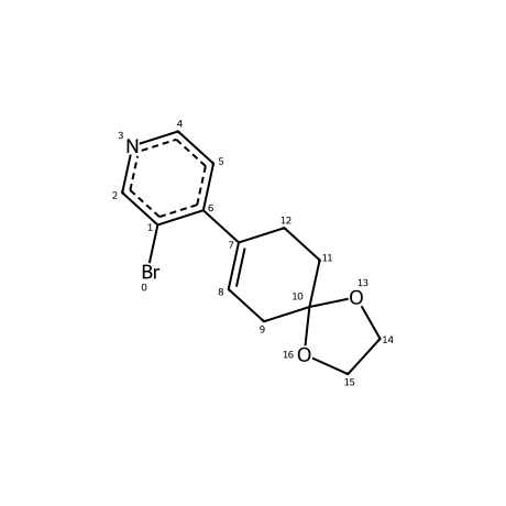 Brc1cnccc1C1=CCC2(CC1)OCCO2